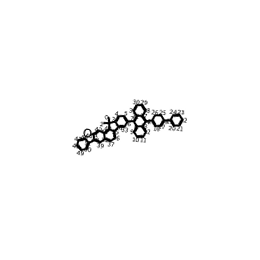 CC1(C)c2ccc(-c3c4ccccc4c(C4=CC=C(c5ccccc5)CC4)c4ccccc34)cc2-c2ccc3cc4c(cc3c21)oc1ccccc14